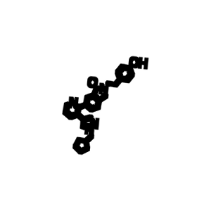 O=C1c2cc(-c3ncccc3-c3cnn(CC4CCCC4)c3)ccc2CN1CCc1ccc(O)cc1